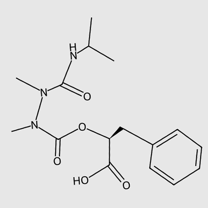 CC(C)NC(=O)N(C)N(C)C(=O)O[C@@H](Cc1ccccc1)C(=O)O